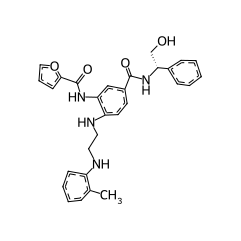 Cc1ccccc1NCCNc1ccc(C(=O)N[C@H](CO)c2ccccc2)cc1NC(=O)c1ccco1